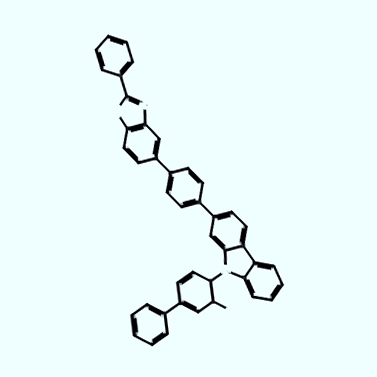 CC1C=C(c2ccccc2)C=CC1n1c2ccccc2c2ccc(-c3ccc(-c4ccc5oc(-c6ccccc6)nc5c4)cc3)cc21